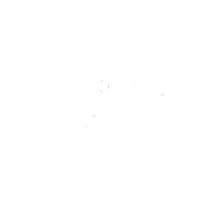 OCC1OC(OCCCCc2ccc3c(c2)OC(OCC2OC(OCCCCC4CCCCC4)C(O)C(O)C2O)O3)C(O)C(O)C1O